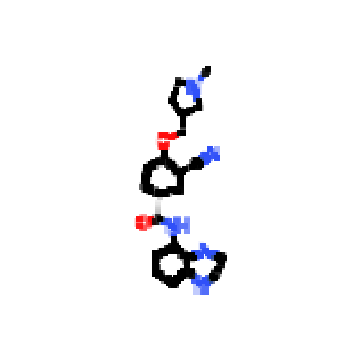 CN1CCC(COc2ccc(C(=O)Nc3cccc4nccnc34)cc2C#N)C1